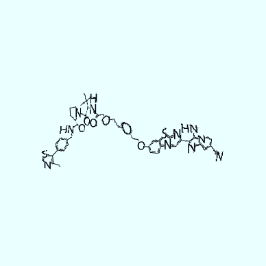 CNc1c(-c2cn3c(n2)sc2cc(OCCOCCOCC(=O)N[C@H](C(=O)N4CCC[C@H]4C(=O)NCc4ccc(-c5scnc5C)cc4)C(C)(C)C)ccc23)nc2cc(C#N)ccn12